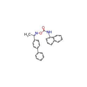 CC(=NOC(=O)Nc1cccc2ccccc12)c1ccc(-c2ccccc2)cc1